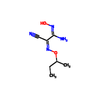 CCC(C)O/N=C(C#N)\C(N)=N/O